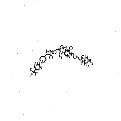 C[C@@H](CONC(=O)CC1CCN(c2ncc(C(F)(F)F)cn2)CC1)Nc1cnn(COCC[Si](C)(C)C)c(=O)c1Br